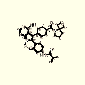 C=C(C)C(=O)Nc1ccc(-c2c(C3=CCC(C(=O)N4CCCC45COC5)CC3)c3c(N)ncnc3n2C)c(C)c1